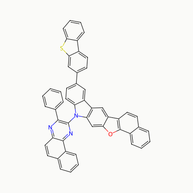 c1ccc(-c2nc3ccc4ccccc4c3nc2-n2c3ccc(-c4ccc5c(c4)sc4ccccc45)cc3c3cc4c(cc32)oc2c3ccccc3ccc42)cc1